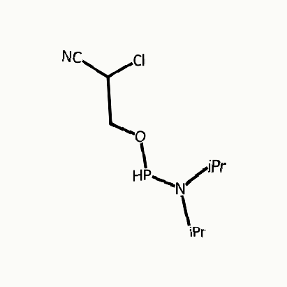 CC(C)N(POCC(Cl)C#N)C(C)C